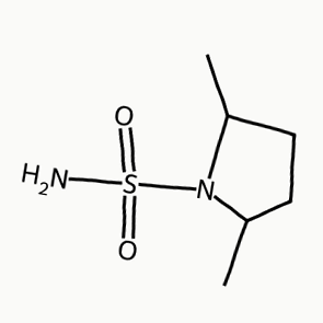 CC1CCC(C)N1S(N)(=O)=O